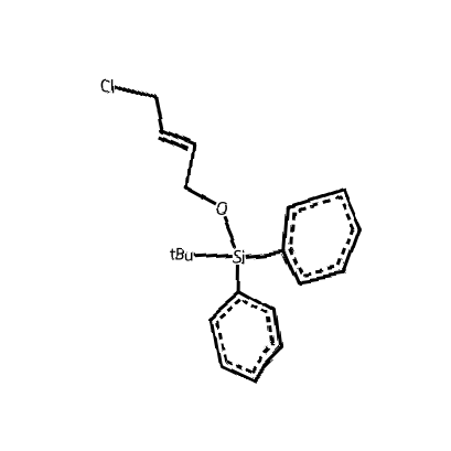 CC(C)(C)[Si](OCC=CCCl)(c1ccccc1)c1ccccc1